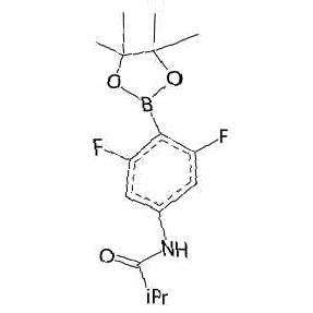 CC(C)C(=O)Nc1cc(F)c(B2OC(C)(C)C(C)(C)O2)c(F)c1